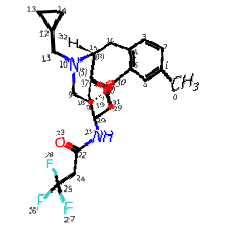 Cc1ccc2c(c1)[C@]13CCN(CC4CC4)[C@H](C2)[C@]12CCC(NC(=O)CC(F)(F)F)(CO2)C3